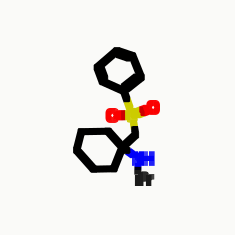 CC(C)NC1(CS(=O)(=O)c2ccccc2)CCCCC1